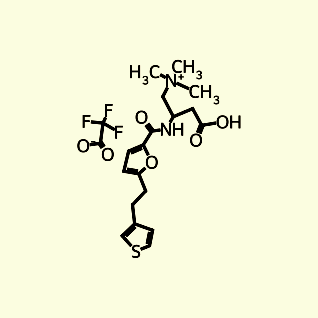 C[N+](C)(C)CC(CC(=O)O)NC(=O)c1ccc(CCc2ccsc2)o1.O=C([O-])C(F)(F)F